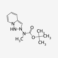 CN(C(=O)OC(C)(C)C)N1C=C2C=CC=CN2N1